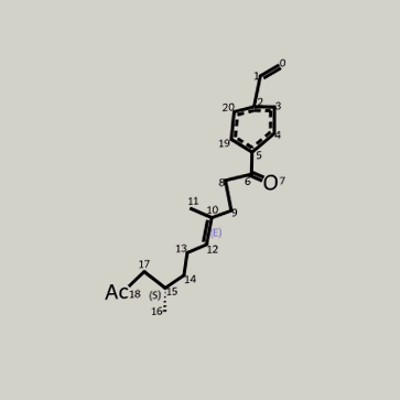 C=Cc1ccc(C(=O)CC/C(C)=C/CC[C@H](C)CC(C)=O)cc1